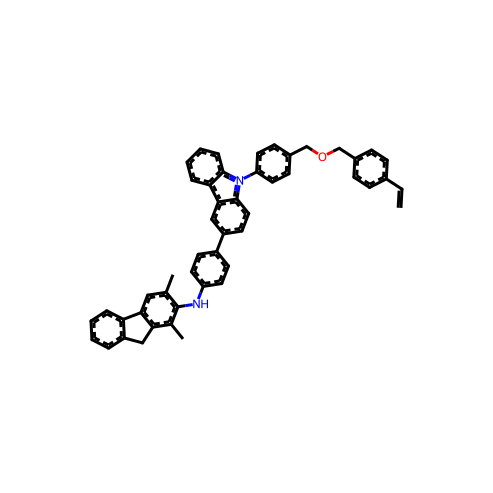 C=Cc1ccc(COCc2ccc(-n3c4ccccc4c4cc(-c5ccc(Nc6c(C)cc7c(c6C)Cc6ccccc6-7)cc5)ccc43)cc2)cc1